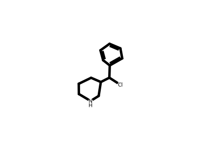 ClC(c1ccccc1)C1CCCNC1